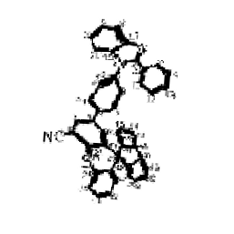 N#Cc1cc(-c2ccc(-n3c(-c4ccccc4)nc4ccccc43)cc2)cc2c1Sc1ccccc1C21c2ccccc2-c2ccccc21